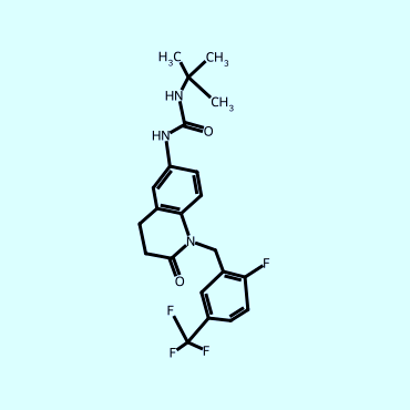 CC(C)(C)NC(=O)Nc1ccc2c(c1)CCC(=O)N2Cc1cc(C(F)(F)F)ccc1F